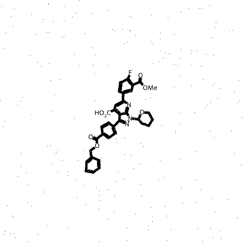 COC(=O)c1cc(-c2cc(C(=O)O)c3c(-c4ccc(C(=O)OCc5ccccc5)cc4)nn(C4CCCCO4)c3n2)ccc1F